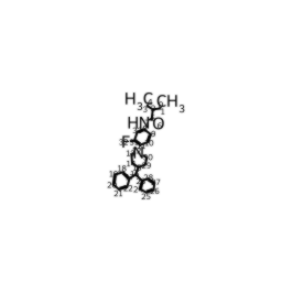 CCC(CC)C(=O)Nc1ccc(N2CCC(C(c3ccccc3)c3ccccc3)CC2)c(F)c1